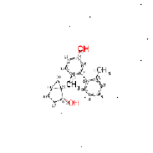 Cc1ccccc1-c1cc(O)ccc1C.OC1CCC2CC12